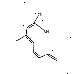 C=C/C=C\C=C(/C)C=C(C#N)C#N